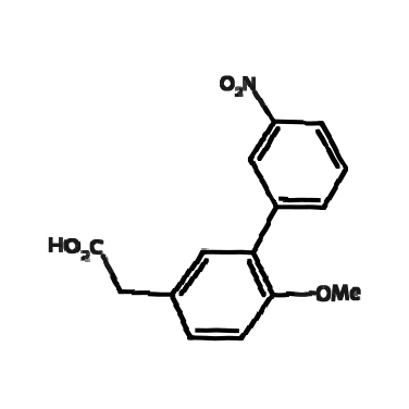 COc1ccc(CC(=O)O)cc1-c1cccc([N+](=O)[O-])c1